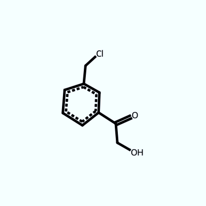 O=C(CO)c1cccc(CCl)c1